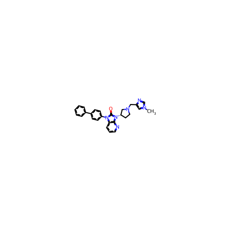 Cn1cnc(CN2CC[C@H](n3c(=O)n(-c4ccc(-c5ccccc5)cc4)c4cccnc43)C2)c1